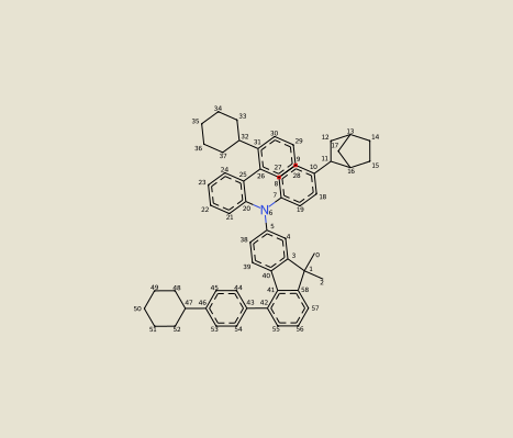 CC1(C)c2cc(N(c3ccc(C4CC5CCC4C5)cc3)c3ccccc3-c3ccccc3C3CCCCC3)ccc2-c2c(-c3ccc(C4CCCCC4)cc3)cccc21